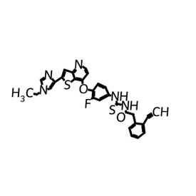 C#Cc1ccccc1CC(=O)NC(=S)Nc1ccc(Oc2ccnc3cc(-c4cn(CC)cn4)sc23)c(F)c1